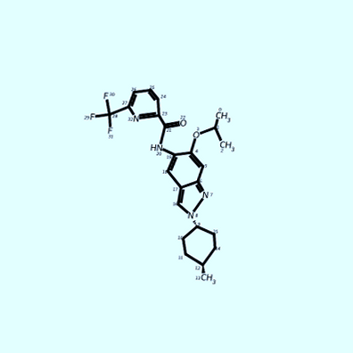 CC(C)Oc1cc2nn([C@H]3CC[C@H](C)CC3)cc2cc1NC(=O)c1cccc(C(F)(F)F)n1